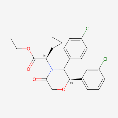 CCOC(=O)[C@@H](C1CC1)N1C(=O)CO[C@H](c2cccc(Cl)c2)C1c1ccc(Cl)cc1